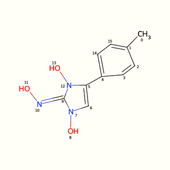 Cc1ccc(-c2cn(O)c(=NO)n2O)cc1